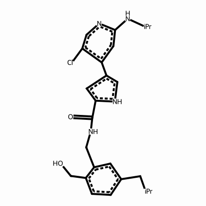 CC(C)Cc1ccc(CO)c(CNC(=O)c2cc(-c3cc(NC(C)C)ncc3Cl)c[nH]2)c1